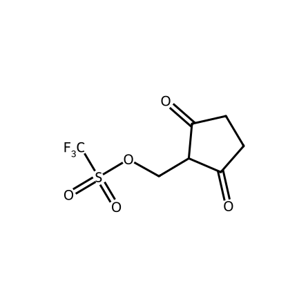 O=C1CCC(=O)C1COS(=O)(=O)C(F)(F)F